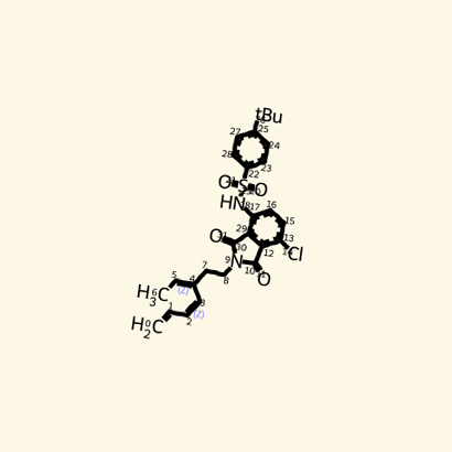 C=C/C=C\C(=C/C)CCN1C(=O)c2c(Cl)ccc(NS(=O)(=O)c3ccc(C(C)(C)C)cc3)c2C1=O